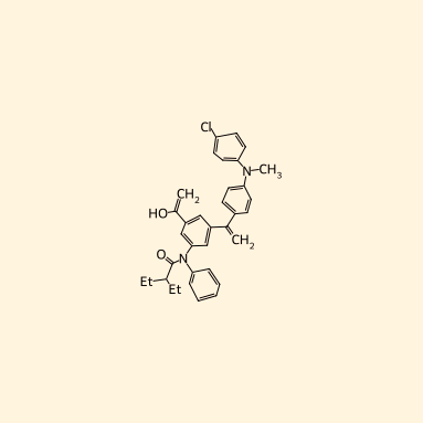 C=C(O)c1cc(C(=C)c2ccc(N(C)c3ccc(Cl)cc3)cc2)cc(N(C(=O)C(CC)CC)c2ccccc2)c1